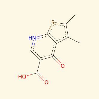 Cc1sc2[nH]cc(C(=O)O)c(=O)c2c1C